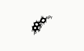 CCCC1CCC(C2=CCc3ccc(F)c(F)c3C2(F)F)CC1